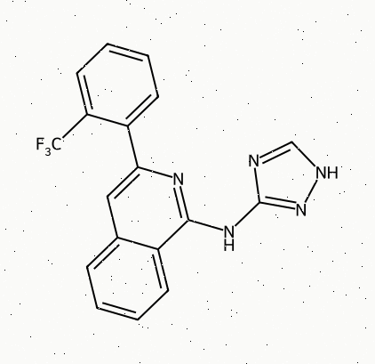 FC(F)(F)c1ccccc1-c1cc2ccccc2c(Nc2nc[nH]n2)n1